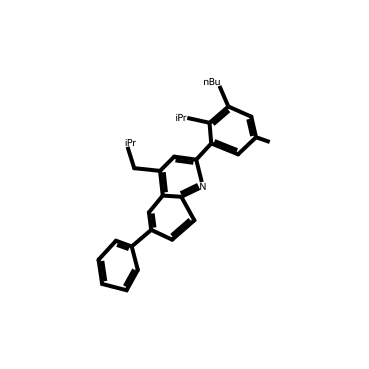 CCCCc1cc(C)cc(-c2cc(CC(C)C)c3cc(-c4ccccc4)ccc3n2)c1C(C)C